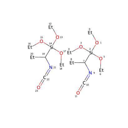 CCO[Si](OCC)(OCC)C(CC)N=C=O.CCO[Si](OCC)(OCC)C(CC)N=C=O